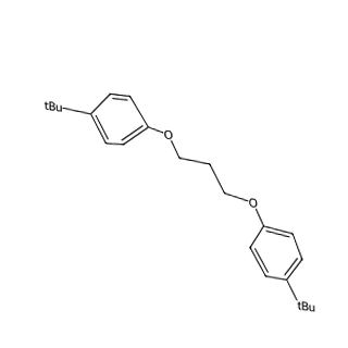 CC(C)(C)c1ccc(OCCCOc2ccc(C(C)(C)C)cc2)cc1